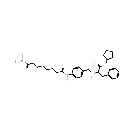 O=C(CCCCCCC(=O)Nc1ccc(CNC(Cc2ccccc2)C(=O)OC2CCCC2)cc1)NO